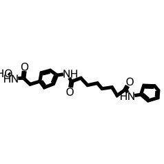 O=C(Cc1ccc(NC(=O)CCCCCCC(=O)Nc2ccccc2)cc1)NO